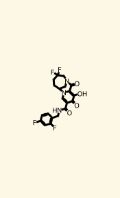 O=C(NCc1ccc(F)cc1F)c1cn2c(c(O)c1=O)C(=O)N1CC2CCC(F)(F)C1